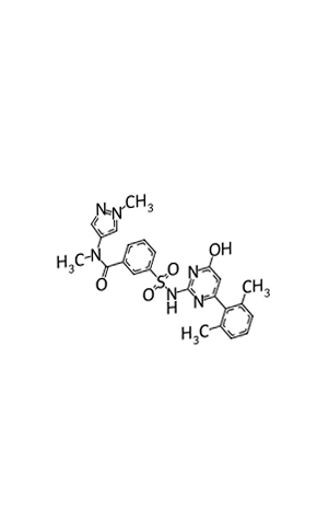 Cc1cccc(C)c1-c1cc(O)nc(NS(=O)(=O)c2cccc(C(=O)N(C)c3cnn(C)c3)c2)n1